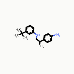 CC(CNc1cccc(C(C)(C)C)c1)c1ccc(N)cc1